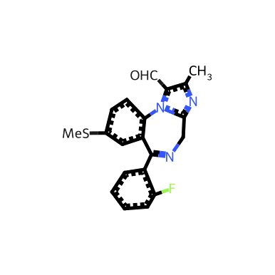 CSc1ccc2c(c1)C(c1ccccc1F)=NCc1nc(C)c(C=O)n1-2